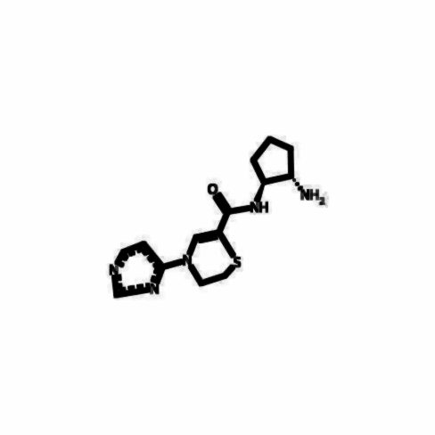 N[C@H]1CCC[C@@H]1NC(=O)C1=CN(c2ccncn2)CCS1